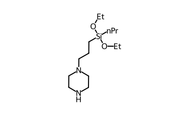 CCC[Si](CCCN1CCNCC1)(OCC)OCC